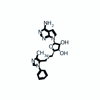 Cc1ncn(-c2ccccc2)c1CSC[C@H]1O[C@@H](n2ccc3c(N)ncnc32)[C@H](O)[C@@H]1O